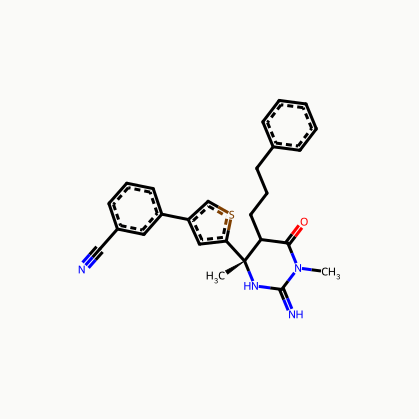 CN1C(=N)N[C@](C)(c2cc(-c3cccc(C#N)c3)cs2)C(CCCc2ccccc2)C1=O